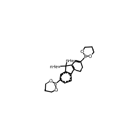 CCCCCCC1(CCCCCC)C2=C(CCC(B3OCCCO3)=C2)c2ccc(B3OCCCO3)cc21